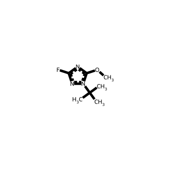 COc1nc(F)nn1C(C)(C)C